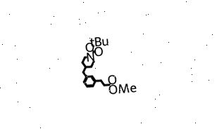 COC(=O)CCc1cccc(CC2CCN(C(=O)OC(C)(C)C)CC2)c1